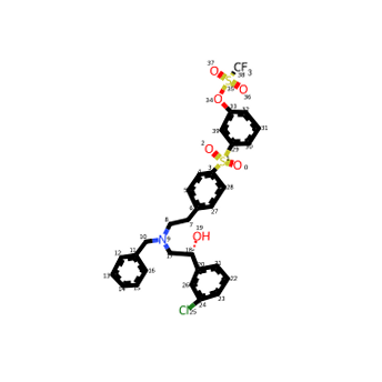 O=S(=O)(c1ccc(CCN(Cc2ccccc2)C[C@H](O)c2cccc(Cl)c2)cc1)c1cccc(OS(=O)(=O)C(F)(F)F)c1